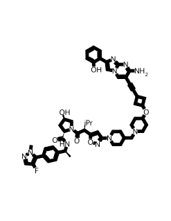 CC(C)[C@@H](C(=O)N1C[C@H](O)C[C@H]1C(=O)N[C@@H](C)c1ccc(-c2c(F)cnn2C)cc1)c1cc(N2CCC(CN3CCC(OC4CC(C#Cc5cn6cc(-c7ccccc7O)nc6nc5N)C4)CC3)CC2)no1